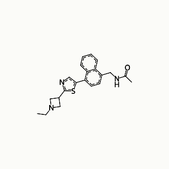 CCN1CC(c2ncc(-c3ccc(CNC(C)=O)c4ccccc34)s2)C1